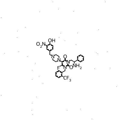 Cc1c(N2CCN(Cc3ccc(O)c([N+](=O)[O-])c3)CC2)c(=O)n(CC(N)c2ccccc2)c(=O)n1Cc1c(F)cccc1C(F)(F)F